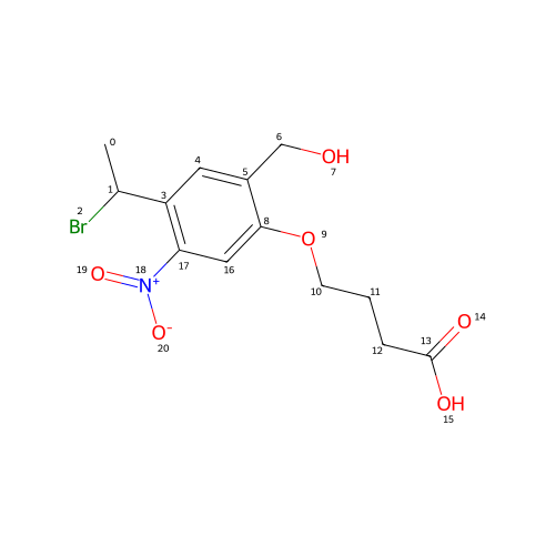 CC(Br)c1cc(CO)c(OCCCC(=O)O)cc1[N+](=O)[O-]